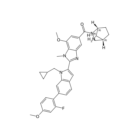 COc1ccc(-c2ccc3cc(-c4nc5cc(C(=O)N6C[C@H]7CC[C@@H]6[C@@H]7N)cc(OC)c5n4C)n(CC4CC4)c3c2)c(F)c1